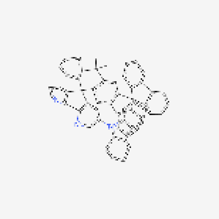 CC1(C)c2ccccc2C2(c3cc4c(cc31)C1(c3ccccc3-c3ccccc31)c1ccccc1-4)c1cccnc1-c1ncc(-n3c4ccccc4c4ccccc43)cc12